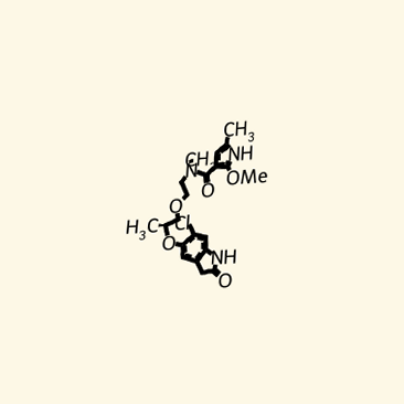 COc1[nH]c(C)cc1C(=O)N(C)CCOC[C@H](C)Oc1cc2c(cc1Cl)NC(=O)C2